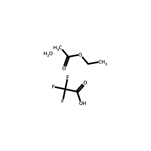 CCOC(C)=O.O.O=C(O)C(F)(F)F